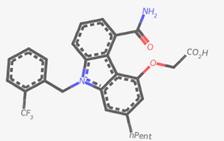 CCCCCc1cc(OCC(=O)O)c2c3c(C(N)=O)cccc3n(Cc3ccccc3C(F)(F)F)c2c1